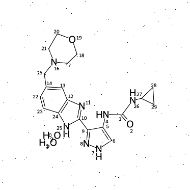 O.O.O=C(Nc1c[nH]nc1-c1nc2cc(CN3CCOCC3)ccc2[nH]1)NC1CC1